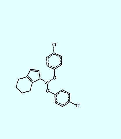 Clc1ccc([O][Zr]([O]c2ccc(Cl)cc2)[CH]2C=CC3=C2CCCC3)cc1